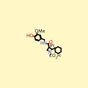 COc1cc(CNC(=O)C2CN(C(=O)O)C2C2(C(C)C)CCCCC2)ccc1O